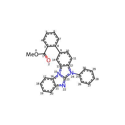 COC(=O)c1ccccc1-c1ccc2c(c1)n1c3ccccc3nc1n2-c1ccccc1